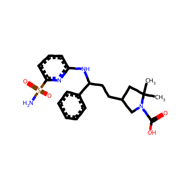 CC1(C)CC(CCC(Nc2cccc(S(N)(=O)=O)n2)c2ccccc2)CN1C(=O)O